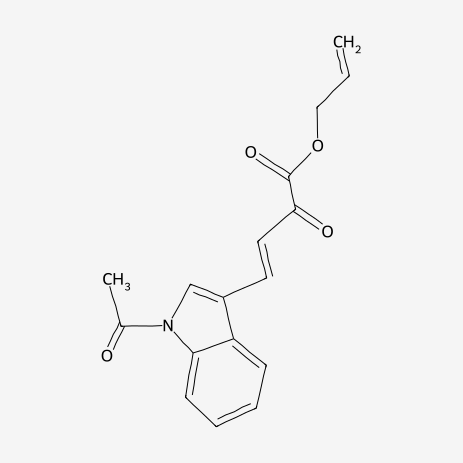 C=CCOC(=O)C(=O)C=Cc1cn(C(C)=O)c2ccccc12